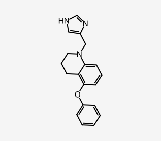 c1ccc(Oc2cccc3c2CCCN3Cc2c[nH]cn2)cc1